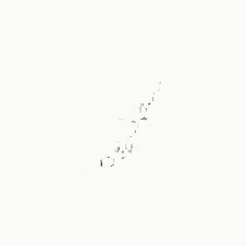 COCCCNC(=O)N(S)CCNS(=O)(=O)c1ccc(C)cc1